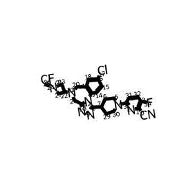 N#Cc1nc(N2CCC(c3nnc4n3-c3ccc(Cl)cc3CN(C3CN(CC(F)(F)F)C3)C4)CC2)ccc1F